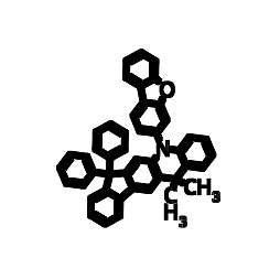 CC1(C)c2ccccc2N(c2ccc3c(c2)oc2ccccc23)c2cc3c(cc21)-c1ccccc1C3(c1ccccc1)c1ccccc1